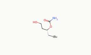 CC(C)(C)C[C@H](CCO)OC(N)=O